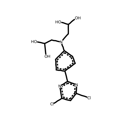 OC(O)CN(CC(O)O)c1ccc(-c2nc(Cl)cc(Cl)n2)cc1